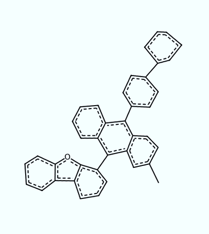 Cc1ccc2c(-c3ccc(-c4ccccc4)cc3)c3ccccc3c(-c3cccc4c3oc3ccccc34)c2c1